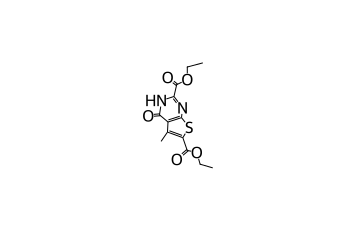 CCOC(=O)c1nc2sc(C(=O)OCC)c(C)c2c(=O)[nH]1